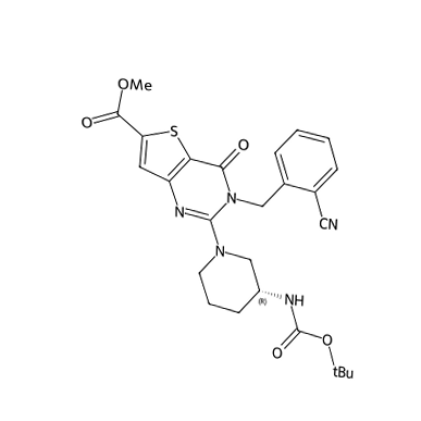 COC(=O)c1cc2nc(N3CCC[C@@H](NC(=O)OC(C)(C)C)C3)n(Cc3ccccc3C#N)c(=O)c2s1